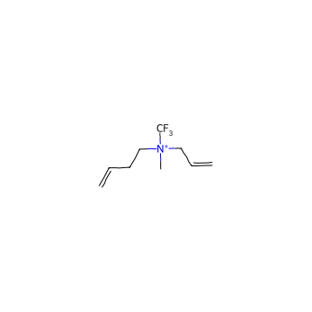 C=CCC[N+](C)(CC=C)C(F)(F)F